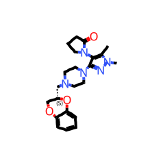 Cc1c(N2CCCC2=O)c(N2CCN(C[C@H]3COc4ccccc4O3)CC2)nn1C